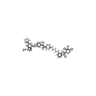 CC(C)c1cnn2c(NCc3ccc(NC(=O)N4CCN(CCCCCc5cccc6c5CN(C5CCC(=O)NC5=O)C6=O)CC4)cc3)cc(N3CCCC3)nc12